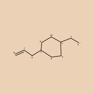 [CH2]CC1CCC(CC=C)CC1